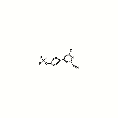 N#Cc1cc(-c2ccc(OC(F)(F)F)cc2)cc(Cl)n1